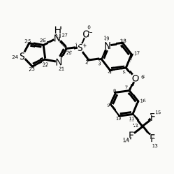 [O-][S+](Cc1cc(Oc2cccc(C(F)(F)F)c2)ccn1)c1nc2cscc2[nH]1